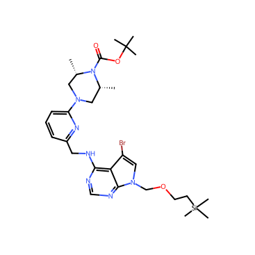 C[C@@H]1CN(c2cccc(CNc3ncnc4c3c(Br)cn4COCC[Si](C)(C)C)n2)C[C@H](C)N1C(=O)OC(C)(C)C